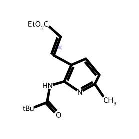 CCOC(=O)/C=C/c1ccc(C)nc1NC(=O)C(C)(C)C